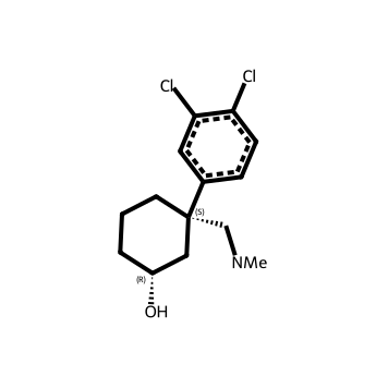 CNC[C@@]1(c2ccc(Cl)c(Cl)c2)CCC[C@@H](O)C1